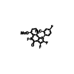 COc1cccc2c3c(c(F)c(F)n3-c3ccc(F)cc3C)c(=O)n(F)c12